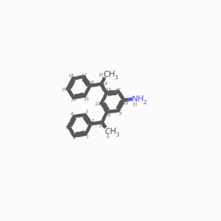 CC(c1ccccc1)c1cc(N)cc(C(C)c2ccccc2)c1